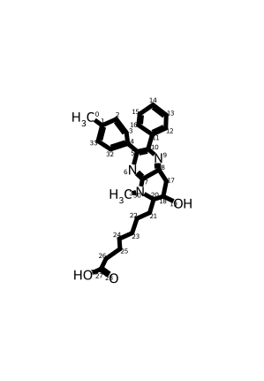 Cc1ccc(-c2nc3c(nc2-c2ccccc2)CC(O)C(CCCCCCC(=O)O)N3C)cc1